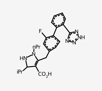 CCCN1NC(C(C)C)C(C(=O)O)=C1Cc1ccc(-c2ccccc2-c2nn[nH]n2)c(F)c1